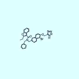 CCc1oc2ccccc2c1C(=O)N(Cc1ccccc1)Cc1ccc2c(Br)c(OCc3nnn[nH]3)ccc2c1